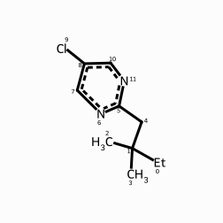 CCC(C)(C)Cc1ncc(Cl)cn1